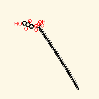 C=C=C=C=C=C=C=C=C=C=C=C=C=C=C=C=C=C=C=C=C=C=C=C=C=C=C=C=C=C=C=C=C=C(C(=O)OO)C(=O)Oc1ccc2c(c1)C(=O)c1ccc(O)cc1C2=O